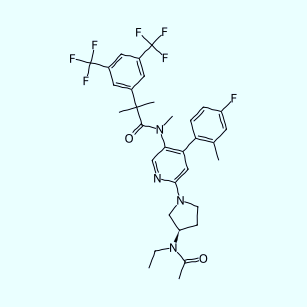 CCN(C(C)=O)[C@@H]1CCN(c2cc(-c3ccc(F)cc3C)c(N(C)C(=O)C(C)(C)c3cc(C(F)(F)F)cc(C(F)(F)F)c3)cn2)C1